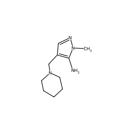 Cn1ncc(CN2CCCCC2)c1N